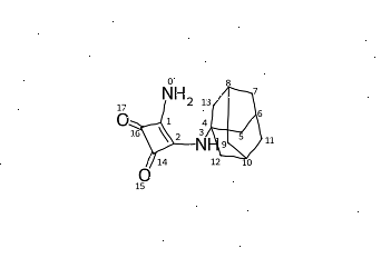 Nc1c(NC23CC4CC(CC(C4)C2)C3)c(=O)c1=O